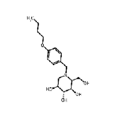 CCCCOc1ccc(CN2C[C@H](O)[C@@H](O)[C@H](O)[C@@H]2CO)cc1